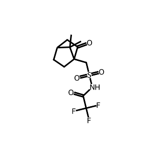 CC1(C)C2CCC1(CS(=O)(=O)NC(=O)C(F)(F)F)C(=O)C2